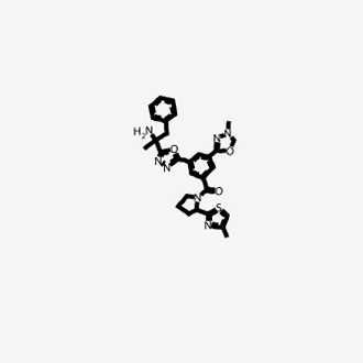 Cc1csc(C2CCCN2C(=O)c2cc(C3=NN(C)CO3)cc(-c3nnc(C(C)(N)Cc4ccccc4)o3)c2)n1